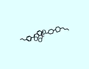 CCCCC1CCC(C2CCC(COc3ccc4cc(-c5ccc(CCC)cc5)oc(=O)c4c3F)CC2)CC1